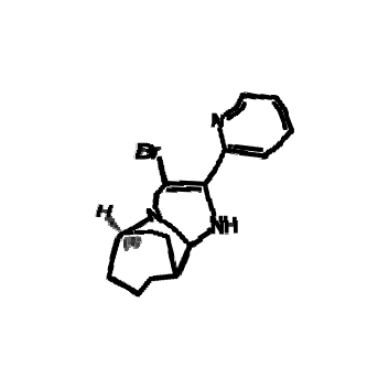 BrC1=C(c2ccccn2)NC2C3CC[C@H](C3)N12